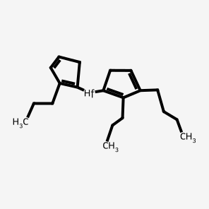 CCCCC1=CC[C]([Hf][C]2=C(CCC)C=CC2)=C1CCC